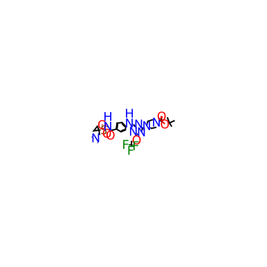 CN(C)CC1(S(=O)(=O)NC(=O)c2ccc(Nc3nc(OCC(F)(F)F)nc(N4CCN(C(=O)OC(C)(C)C)CC4)n3)cc2)CC1